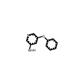 CC(=O)Nc1cncc(Oc2ccccc2)c1